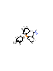 CN[C@@H](C)[C@@H]1CCCC1P(c1ccccc1)c1ccccc1